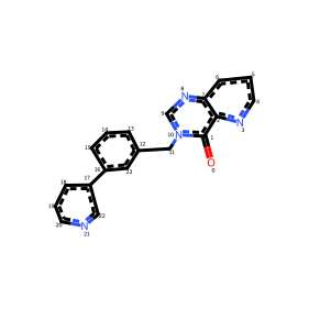 O=c1c2ncccc2ncn1Cc1cccc(-c2cccnc2)c1